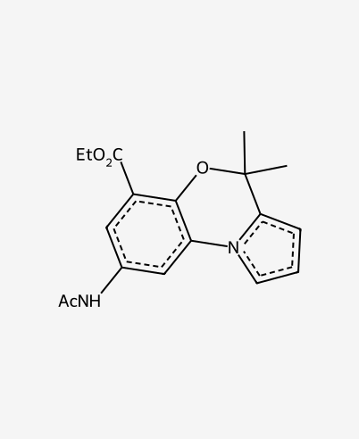 CCOC(=O)c1cc(NC(C)=O)cc2c1OC(C)(C)c1cccn1-2